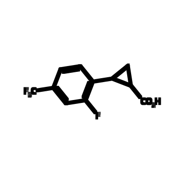 O=C(O)C1CC1c1ccc(C(F)(F)F)cc1F